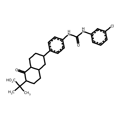 CC(C)(C(=O)O)C1CCC2CC(c3ccc(NC(=O)Nc4cccc(Cl)c4)cc3)CCC2C1=O